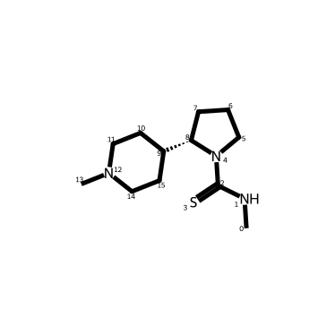 CNC(=S)N1CCC[C@H]1C1CCN(C)CC1